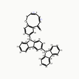 C=C1/C=C\C=C/CSc2ccc(-n3c4ccccc4c4cc(-n5c6ccccc6c6ccccc65)ccc43)cc21